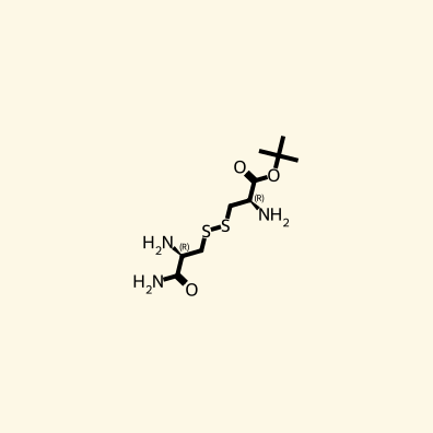 CC(C)(C)OC(=O)[C@@H](N)CSSC[C@H](N)C(N)=O